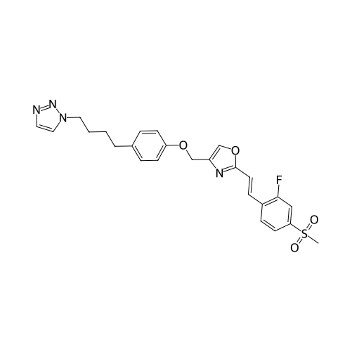 CS(=O)(=O)c1ccc(C=Cc2nc(COc3ccc(CCCCn4ccnn4)cc3)co2)c(F)c1